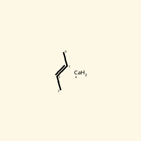 CC=CC.[CaH2]